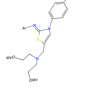 COCCN(CCOC)Cc1cn(-c2ccc(C(F)(F)F)cc2)/c(=N/C(C)=O)s1